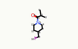 CC(C)C(=O)N1CCC(CI)CC1